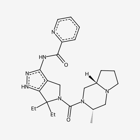 CCC1(CC)c2[nH]nc(NC(=O)c3ccccn3)c2CN1C(=O)N1C[C@@H]2CCCN2C[C@@H]1C